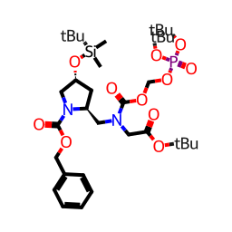 CC(C)(C)OC(=O)CN(C[C@@H]1C[C@@H](O[Si](C)(C)C(C)(C)C)CN1C(=O)OCc1ccccc1)C(=O)OCOP(=O)(OC(C)(C)C)OC(C)(C)C